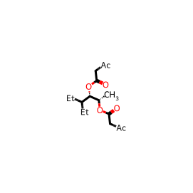 CCC(CC)[C@H](OC(=O)CC(C)=O)[C@H](C)OC(=O)CC(C)=O